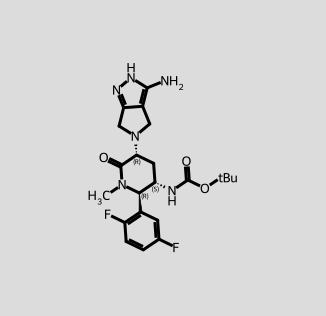 CN1C(=O)[C@H](N2Cc3n[nH]c(N)c3C2)C[C@H](NC(=O)OC(C)(C)C)[C@H]1c1cc(F)ccc1F